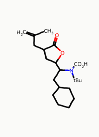 C=C(C)CC1CC(C(CC2CCCCC2)N(C(=O)O)C(C)(C)C)OC1=O